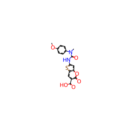 COc1ccc(N(C)C(=O)Nc2cc3oc(=O)c(C(=O)O)cc3s2)cc1